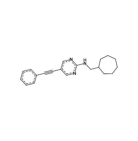 C(#Cc1cnc(NCC2CCCCCC2)nc1)c1ccccc1